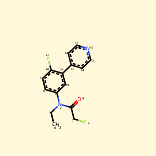 CCN(C(=O)CF)c1ccc(F)c(-c2ccncc2)c1